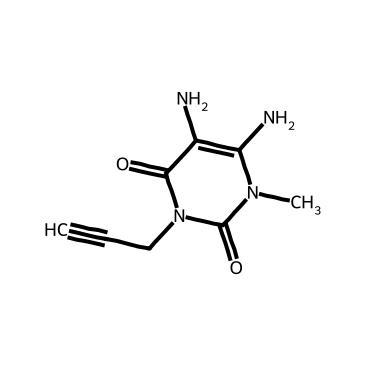 C#CCn1c(=O)c(N)c(N)n(C)c1=O